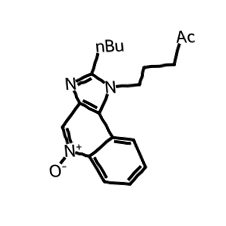 CCCCc1nc2c[n+]([O-])c3ccccc3c2n1CCCC(C)=O